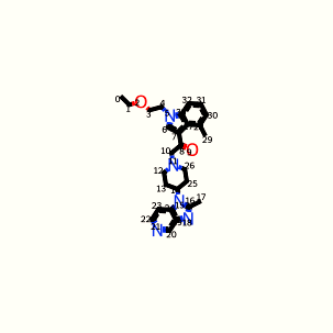 CCOCCn1cc(C(=O)CN2CCC(n3c(C)nc4cnccc43)CC2)c2c(C)cccc21